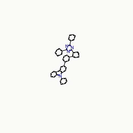 c1ccc(-c2nc(-c3ccccc3)nc(-c3ccccc3-c3cccc(-c4ccc5c(c4)c4ccccc4n5-c4ccccc4)c3)n2)cc1